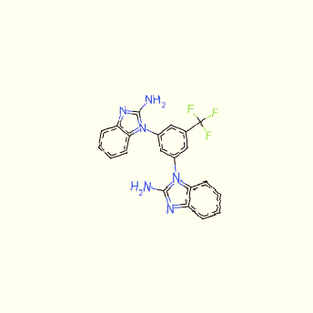 Nc1nc2ccccc2n1-c1cc(-n2c(N)nc3ccccc32)cc(C(F)(F)F)c1